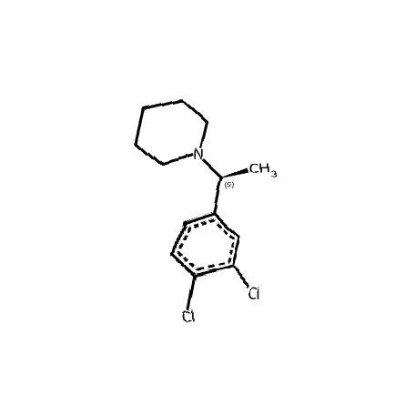 C[C@@H](c1ccc(Cl)c(Cl)c1)N1CCCCC1